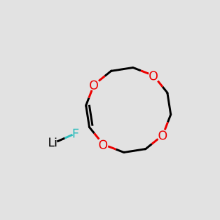 C1=C\OCCOCCOCCO/1.[Li][F]